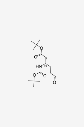 CC(C)(C)OC(=O)C[C@@H](CCC=O)NC(=O)OC(C)(C)C